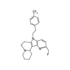 FCc1ccc2c(n1)c1c(n2CCc2ccc(C(F)(F)F)cc2)CCN2CCCCC12